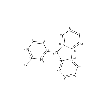 Cc1nccc(-n2c3ccccc3c3ccccc32)n1